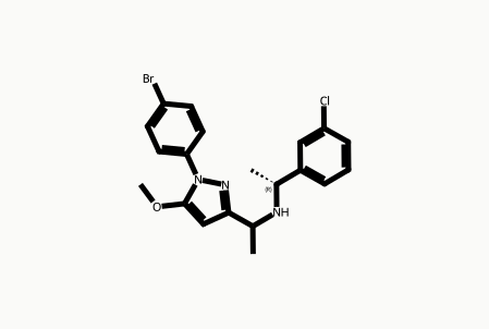 COc1cc(C(C)N[C@H](C)c2cccc(Cl)c2)nn1-c1ccc(Br)cc1